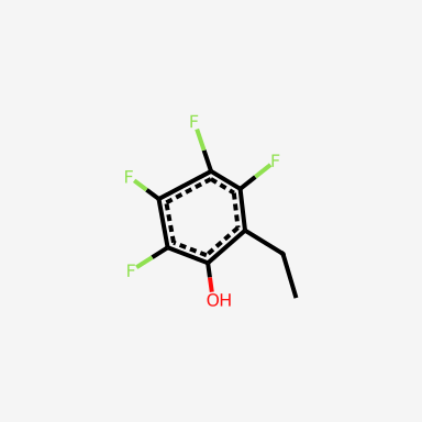 CCc1c(O)c(F)c(F)c(F)c1F